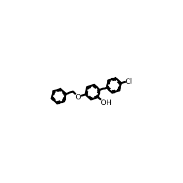 Oc1cc(OCc2ccccc2)ccc1-c1ccc(Cl)cc1